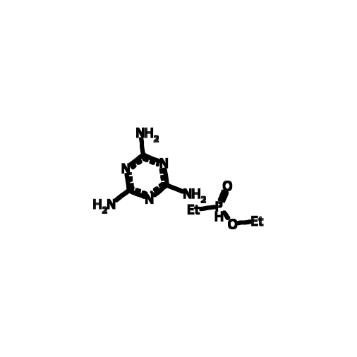 CCO[PH](=O)CC.Nc1nc(N)nc(N)n1